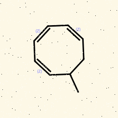 CC1\C=C/C=C\C=C/C1